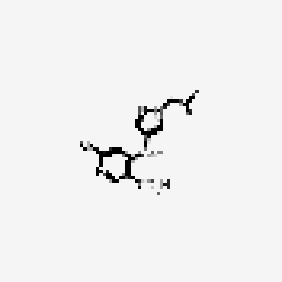 O=C(O)c1cnc(Cl)cc1[AsH]c1cnn(CC(F)F)c1